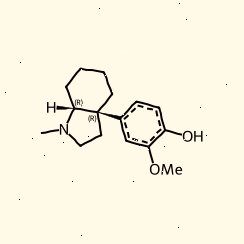 COc1cc([C@]23CCCC[C@H]2N(C)CC3)ccc1O